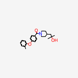 Cc1ccccc1Oc1ccc(C(=O)N2CCC(CC(C)(C)O)CC2)cc1